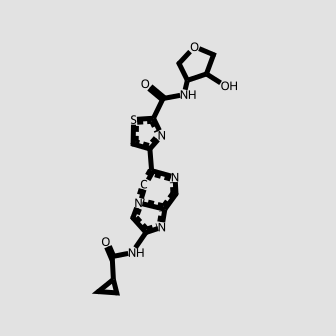 O=C(NC1COCC1O)c1nc(-c2cn3cc(NC(=O)C4CC4)nc3cn2)cs1